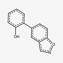 Oc1ccccc1-c1ccc2oncc2c1